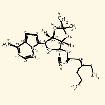 CCCC(CC)OC(=O)O[C@@]1(C#N)O[C@@H](c2ccc3c(N)ncnn23)[C@@H]2OC(C)(C)O[C@@H]21